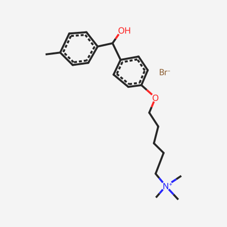 Cc1ccc(C(O)c2ccc(OCCCCC[N+](C)(C)C)cc2)cc1.[Br-]